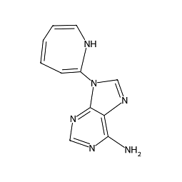 Nc1ncnc2c1ncn2C1=CC=CC=CN1